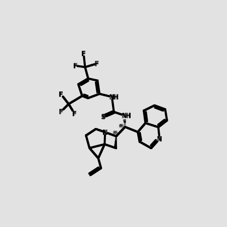 C=CC1C2CCN3[C@@H]([C@H](NC(=S)Nc4cc(C(F)(F)F)cc(C(F)(F)F)c4)c4ccnc5ccccc45)CC123